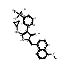 COc1cccc2c(/C=C3/OC(NC4CC4)=C(c4cccc(C(F)(F)F)c4)C3=O)cccc12